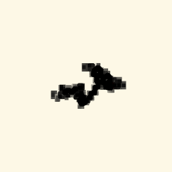 C[C@]12CC[C@@H]3c4ccc(O)cc4C[C@@H](CCCCCN4CCC[C@H]4CS(=O)(=O)CCCC(F)(F)C(F)(F)F)[C@H]3[C@@H]1CC[C@@H]2O